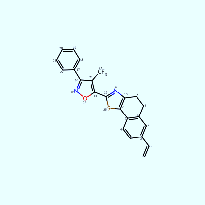 C=Cc1ccc2c(c1)CCc1nc(-c3onc(-c4ccccc4)c3C(F)(F)F)sc1-2